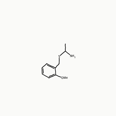 COc1ccccc1CSC(C)N